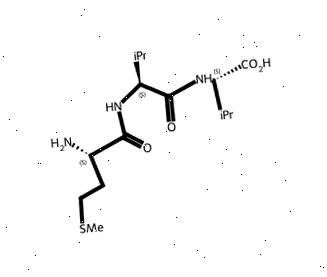 CSCC[C@H](N)C(=O)N[C@H](C(=O)N[C@H](C(=O)O)C(C)C)C(C)C